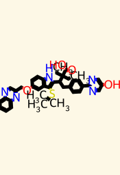 CCC(CC)(C(=O)O)C(Cc1ccc(-c2ncc(O)cn2)cc1)c1[nH]c2ccc(OCc3cnc4ccccc4n3)cc2c1SC(C)(C)C